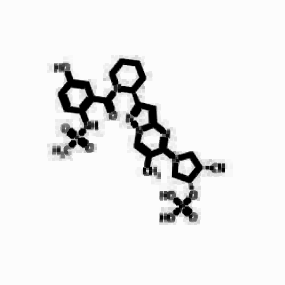 Cc1cn2nc([C@@H]3CCCCN3C(=O)c3cc(O)ccc3NS(C)(=O)=O)cc2nc1N1C[C@H](C#N)[C@H](OP(=O)(O)O)C1